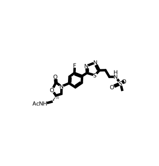 CC(=O)NC[C@H]1CN(c2ccc(-c3nnc(CCNS(C)(=O)=O)s3)c(F)c2)C(=O)O1